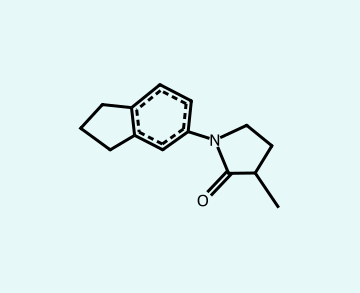 CC1CCN(c2ccc3c(c2)CCC3)C1=O